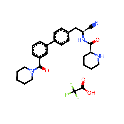 N#C[C@H](Cc1ccc(-c2cccc(C(=O)N3CCCCC3)c2)cc1)NC(=O)[C@@H]1CCCCN1.O=C(O)C(F)(F)F